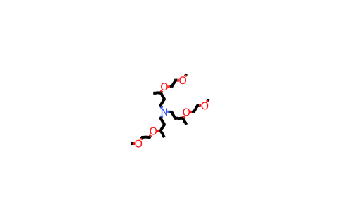 COCCOC(C)CCN(CCC(C)OCCOC)CCC(C)OCCOC